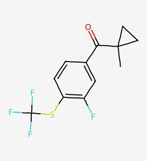 CC1(C(=O)c2ccc(SC(F)(F)F)c(F)c2)CC1